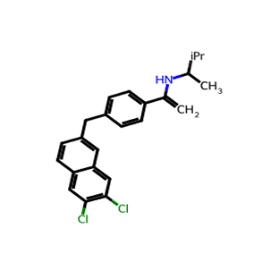 C=C(NC(C)C(C)C)c1ccc(Cc2ccc3cc(Cl)c(Cl)cc3c2)cc1